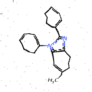 CC1=Cc2c(nc(C3=CC=CCC3)n2C2=CC=CCC2)CC1